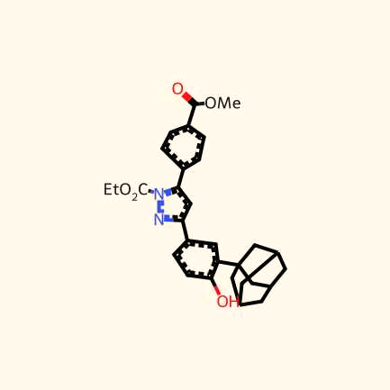 CCOC(=O)n1nc(-c2ccc(O)c(C34CC5CC(CC(C5)C3)C4)c2)cc1-c1ccc(C(=O)OC)cc1